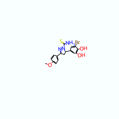 COc1ccc(C2=NN(C(N)=S)C(c3cc(O)c(O)c(Br)c3)C2)cc1